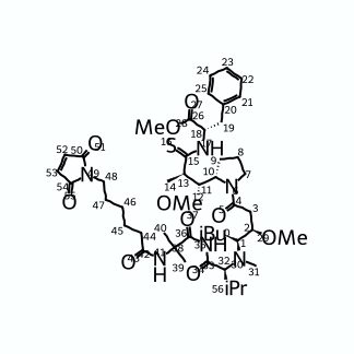 CC[C@H](C)[C@@H]([C@@H](CC(=O)N1CCC[C@H]1[C@H](OC)[C@@H](C)C(=S)N[C@@H](Cc1ccccc1)C(=O)OC)OC)N(C)[C@H](C(=O)NC(=O)C(C)(C)NC(=O)CCCCCN1C(=O)C=CC1=O)C(C)C